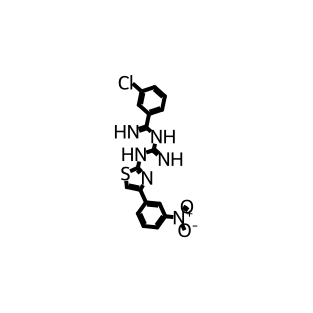 N=C(NC(=N)c1cccc(Cl)c1)Nc1nc(-c2cccc([N+](=O)[O-])c2)cs1